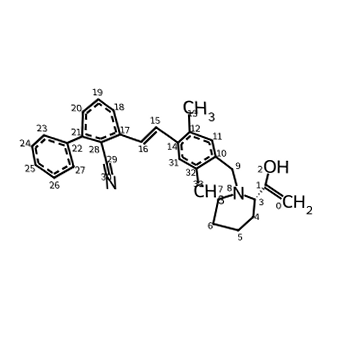 C=C(O)[C@@H]1CCCCN1Cc1cc(C)c(/C=C/c2cccc(-c3ccccc3)c2C#N)cc1C